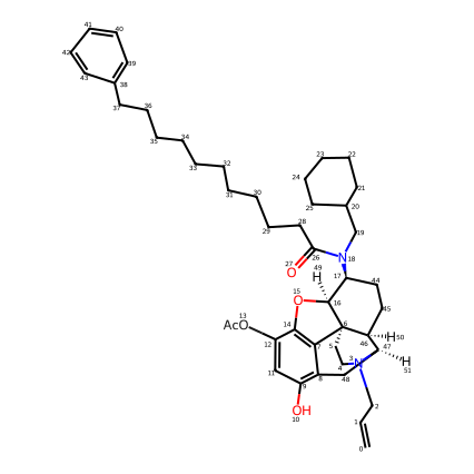 C=CCN1CC[C@]23c4c5c(O)cc(OC(C)=O)c4O[C@H]2[C@@H](N(CC2CCCCC2)C(=O)CCCCCCCCCCc2ccccc2)CC[C@H]3[C@H]1C5